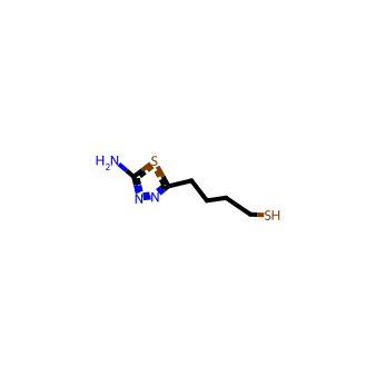 Nc1nnc(CCCCS)s1